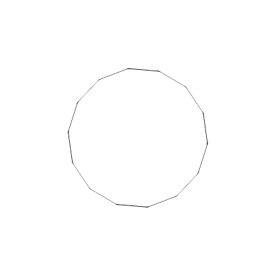 [CH]1CCCCCC[CH]CCCCCC1